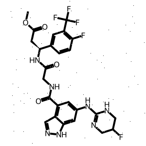 COC(=O)C[C@H](NC(=O)CNC(=O)c1cc(NC2=NCC(F)CN2)cc2[nH]ncc12)c1ccc(F)c(C(F)(F)F)c1